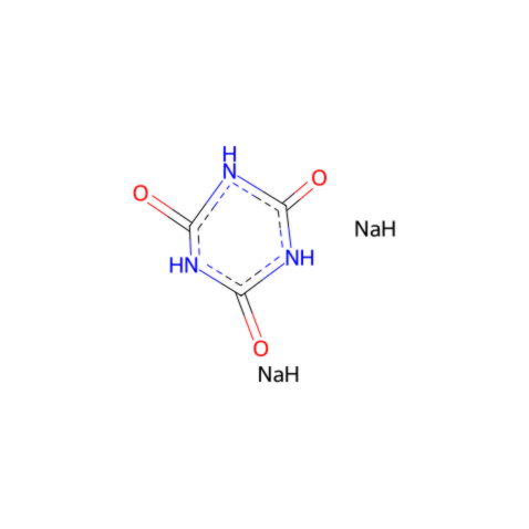 O=c1[nH]c(=O)[nH]c(=O)[nH]1.[NaH].[NaH]